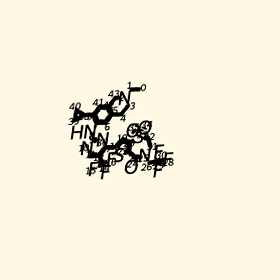 CCN1CCc2cc(Nc3ncc(C(F)(F)F)c(-c4cc5c(s4)C(=O)N(CC(F)(F)F)CCS5(=O)=O)n3)c(C3CC3)cc2C1